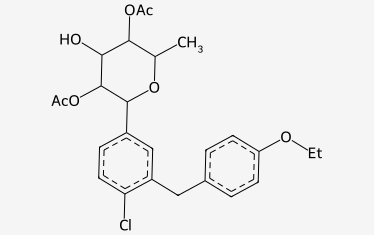 CCOc1ccc(Cc2cc(C3OC(C)C(OC(C)=O)C(O)C3OC(C)=O)ccc2Cl)cc1